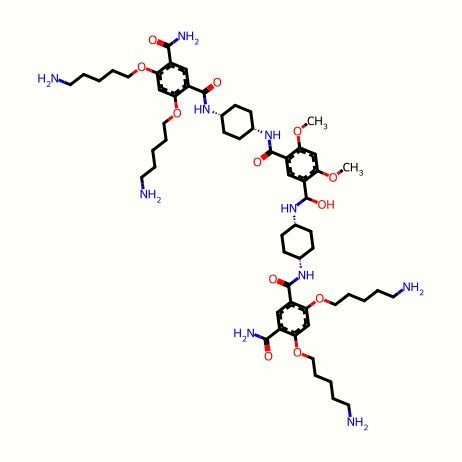 COc1cc(OC)c(C(O)N[C@H]2CC[C@@H](NC(=O)c3cc(C(N)=O)c(OCCCCCN)cc3OCCCCCN)CC2)cc1C(=O)N[C@H]1CC[C@@H](NC(=O)c2cc(C(N)=O)c(OCCCCCN)cc2OCCCCCN)CC1